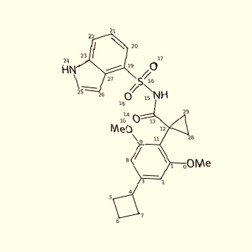 COc1cc(C2CCC2)cc(OC)c1C1(C(=O)NS(=O)(=O)c2cccc3[nH]ccc23)CC1